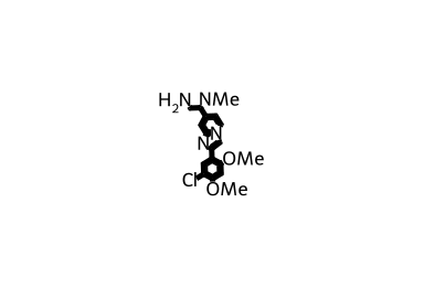 CNC(CN)c1ccn2cc(-c3cc(Cl)c(OC)cc3OC)nc2c1